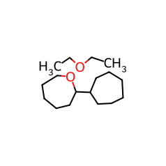 C1CCCC(C2CCCCCO2)CC1.CCOCC